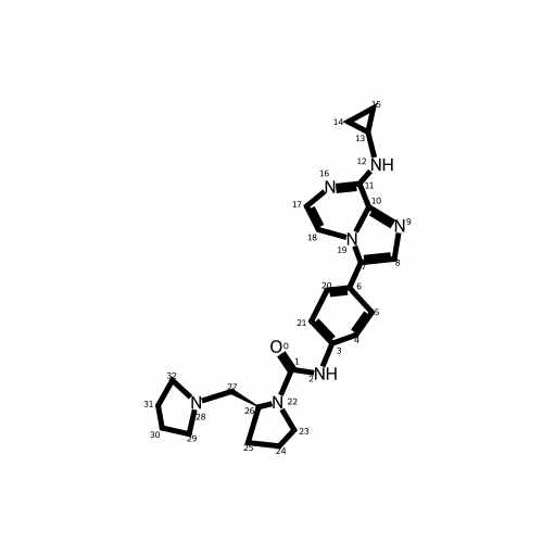 O=C(Nc1ccc(-c2cnc3c(NC4CC4)nccn23)cc1)N1CCC[C@H]1CN1CCCC1